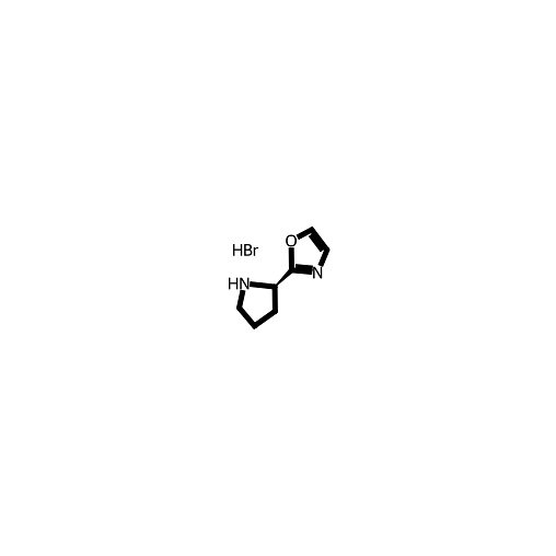 Br.c1coc([C@H]2CCCN2)n1